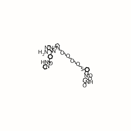 Nc1nccn2c([C@@H]3CCCN3CCOCCOCCOCCOCCSc3cccc4c3CN(C3CCC(=O)NC3=O)C4=O)nc(-c3ccc(C(=O)Nc4ccccn4)cc3)c12